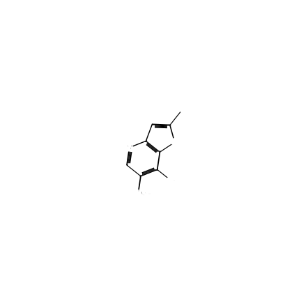 CSc1cnc2cc(C)sc2c1O